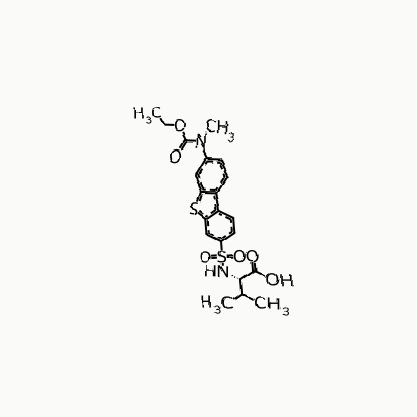 CCOC(=O)N(C)c1ccc2c(c1)sc1cc(S(=O)(=O)N[C@H](C(=O)O)C(C)C)ccc12